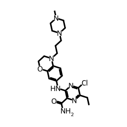 CCc1nc(C(N)=O)c(Nc2ccc3c(c2)OCCN3CCCN2CCN(C)CC2)nc1Cl